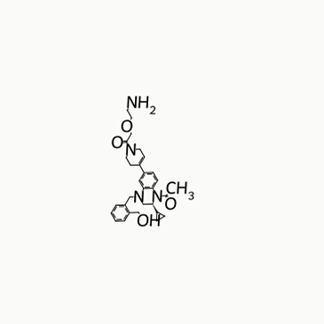 CC(=O)N1c2ccc(C3=CCN(C(=O)COCCN)CC3)cc2N(Cc2ccccc2CO)C[C@@H]1C1CC1